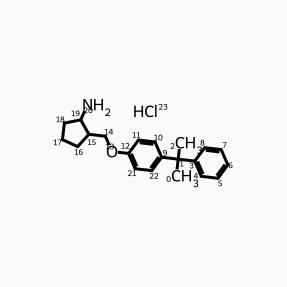 CC(C)(c1ccccc1)c1ccc(OCC2CCCC2N)cc1.Cl